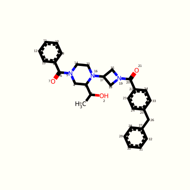 CC(O)C1CN(C(=O)c2ccccc2)CCN1C1CN(C(=O)c2ccc(Cc3ccccc3)cc2)C1